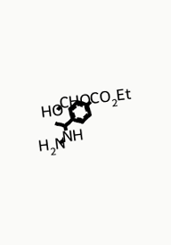 CCOC(=O)c1ccc(C(C)NN)cc1.O=CO